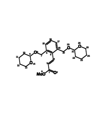 COC(=O)/C=C/c1c(COC2CCCCO2)cccc1COC1CCCCO1